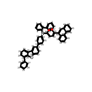 c1ccc(-c2ccccc2N(c2ccc(-c3ccc4oc5c(-c6ccccc6)cccc5c4c3)cc2)c2ccc(-c3cc4ccccc4c4ccccc34)cc2)cc1